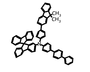 CC1(C)c2ccccc2-c2ccc(-c3ccc(N(c4ccc(-c5ccc(-c6ccccc6)cc5)cc4)c4ccc5c(c4)C4(c6ccccc6-c6ccccc64)c4ccccc4-5)cc3)cc21